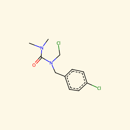 CN(C)C(=O)N(CCl)Cc1ccc(Cl)cc1